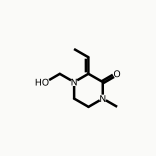 C/C=C1/C(=O)N(C)CCN1CO